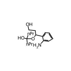 CCCC(O)(CCC)OC(CCO)c1ccccc1N